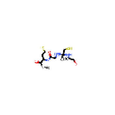 CNC(=O)C(CCS)NC(=O)CNC(C=O)(CS)NCCO